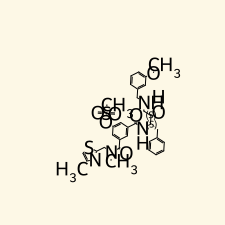 COc1cccc(CNC[C@H](O)[C@H](Cc2ccccc2)NC(=O)c2cc(OS(C)(=O)=O)cc(C(=O)N(C)Cc3nc(C)cs3)c2)c1